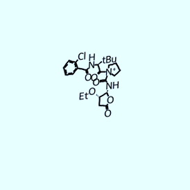 CCO[C@H]1CC(=O)O[C@H]1NC(=O)[N+]1(C(=O)[C@@H](NC(=O)c2ccccc2Cl)C(C)(C)C)CCCC1